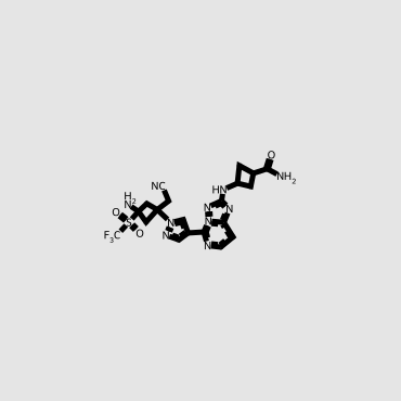 N#CCC1(n2cc(-c3nccc4nc(NC5CC(C(N)=O)C5)nn34)cn2)CC(N)(S(=O)(=O)C(F)(F)F)C1